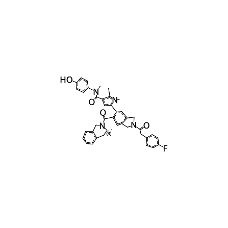 Cc1c(C(=O)N(C)c2ccc(O)cc2)cc(-c2cc3c(cc2C(=O)N2Cc4ccccc4C[C@H]2C)CN(C(=O)Cc2ccc(F)cc2)C3)n1C